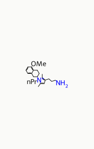 CCC[N+]1(C2CCc3c(cccc3OC)C2)C(C)=CC(CCCN)=C1C